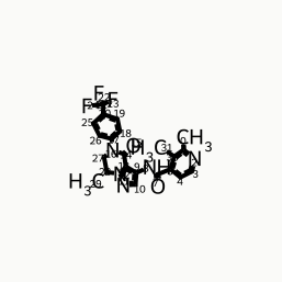 Cc1nccc(C(=O)Nc2cnn3c2C(=O)N(c2ccc(C(F)(F)F)cc2)C[C@@H]3C)c1C